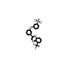 CS(=O)(=O)c1cccc(Oc2cccc(-c3cnc4c(C(F)(F)F)cccc4n3)c2)c1